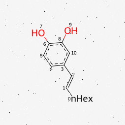 CCCCCCC=Cc1ccc(O)c(O)c1